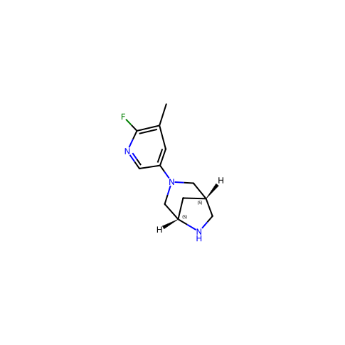 Cc1cc(N2C[C@@H]3CN[C@@H](C3)C2)cnc1F